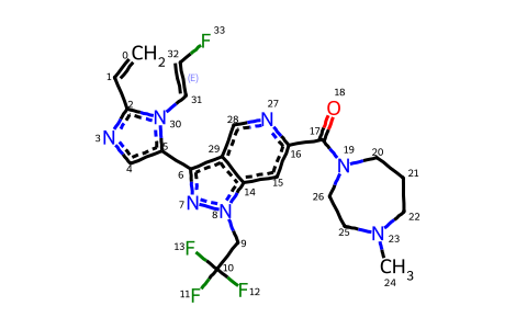 C=Cc1ncc(-c2nn(CC(F)(F)F)c3cc(C(=O)N4CCCN(C)CC4)ncc23)n1/C=C/F